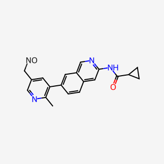 Cc1ncc(CN=O)cc1-c1ccc2cc(NC(=O)C3CC3)ncc2c1